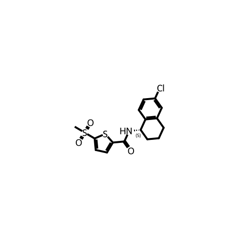 CS(=O)(=O)c1ccc(C(=O)N[C@H]2CCCc3cc(Cl)ccc32)s1